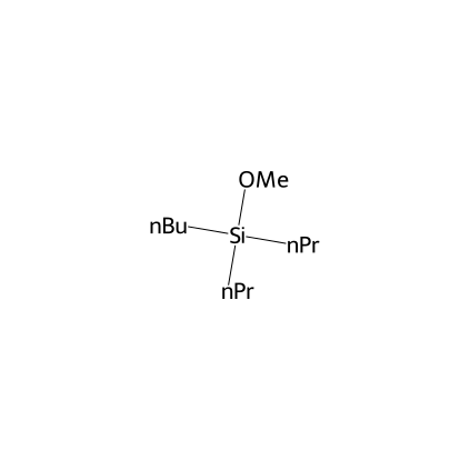 CCCC[Si](CCC)(CCC)OC